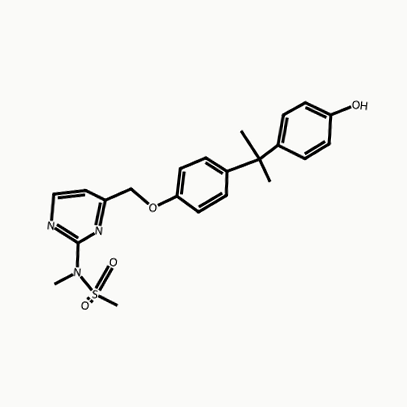 CN(c1nccc(COc2ccc(C(C)(C)c3ccc(O)cc3)cc2)n1)S(C)(=O)=O